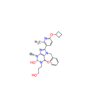 CCC(C)N1c2nc(-c3ccc(OC4CCC4)nc3C)n(Cc3ccccc3)c2C(=O)N(CCCO)C1O